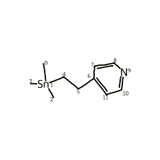 [CH3][Sn]([CH3])([CH3])[CH2]Cc1ccncc1